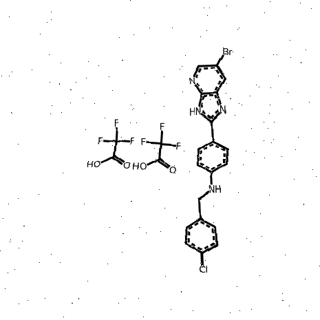 Clc1ccc(CNc2ccc(-c3nc4cc(Br)cnc4[nH]3)cc2)cc1.O=C(O)C(F)(F)F.O=C(O)C(F)(F)F